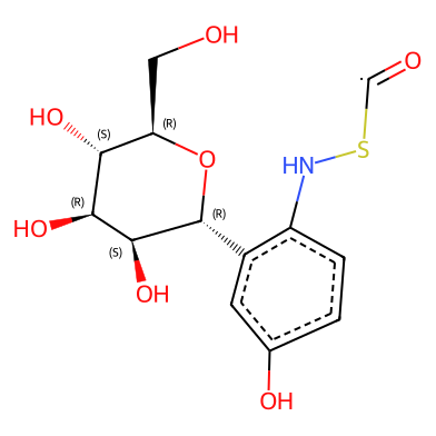 O=[C]SNc1ccc(O)cc1[C@H]1O[C@H](CO)[C@@H](O)[C@H](O)[C@@H]1O